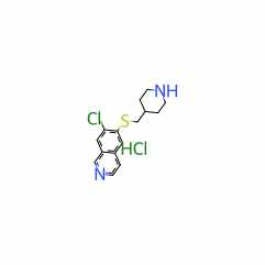 Cl.Clc1cc2cnccc2cc1SCC1CCNCC1